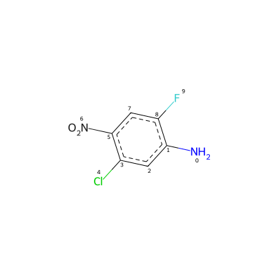 Nc1cc(Cl)c([N+](=O)[O-])cc1F